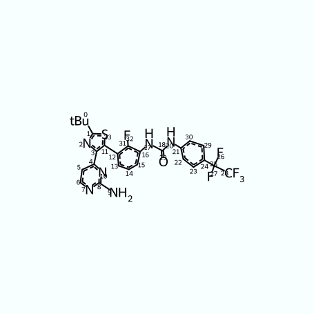 CC(C)(C)c1nc(-c2ccnc(N)n2)c(-c2cccc(NC(=O)Nc3ccc(C(F)(F)C(F)(F)F)cc3)c2F)s1